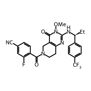 CC[C@H](Nc1nc2c(c(=O)n1OC)CN(C(=O)c1ccc(C#N)cc1F)CC2)c1ccc(C(F)(F)F)cc1